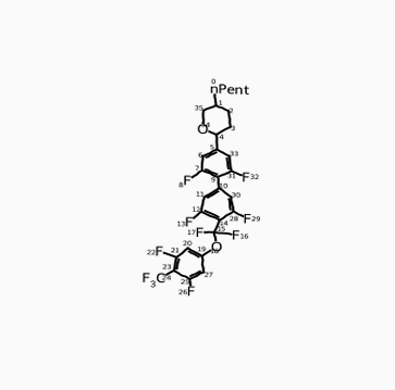 CCCCCC1CCC(c2cc(F)c(-c3cc(F)c(C(F)(F)Oc4cc(F)c(C(F)(F)F)c(F)c4)c(F)c3)c(F)c2)OC1